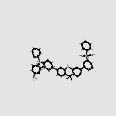 CC1(C)c2ccc(-c3cccc(S(=O)(=O)c4ccccc4)c3)cc2Oc2cc(-c3ccc4c(c3)c3cc(C#N)ccc3n4-c3ccccc3)ccc21